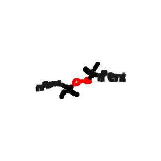 CCCCC[Si](C)(C)OO[Si](C)(C)CCCCC